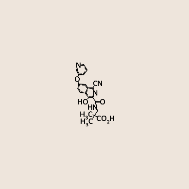 CC(C)(CNC(=O)c1nc(C#N)c2cc(Oc3cccnc3)ccc2c1O)C(=O)O